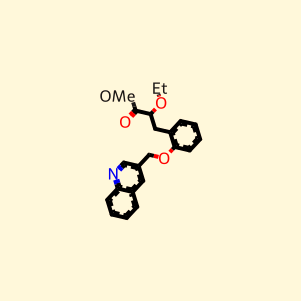 CCOC(Cc1ccccc1OCc1cnc2ccccc2c1)C(=O)OC